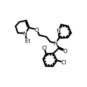 [CH2]CN1CCCC=C1OCCCN(C(=O)c1c(Cl)cccc1Cl)c1ccccn1